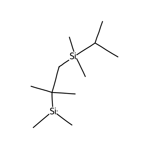 CC(C)[Si](C)(C)CC(C)(C)[Si](C)C